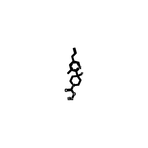 C=CCc1cnc(C2(F)CCN(C(=O)OC(C)(C)C)CC2)c(C)c1